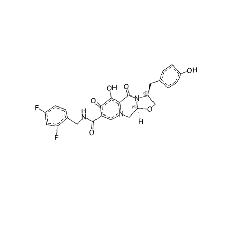 O=C(NCc1ccc(F)cc1F)c1cn2c(c(O)c1=O)C(=O)N1[C@@H](Cc3ccc(O)cc3)CO[C@H]1C2